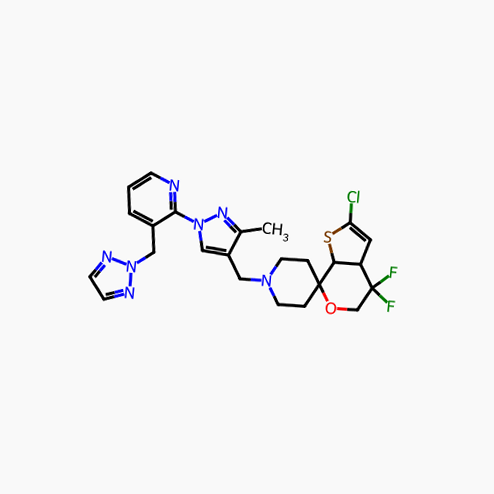 Cc1nn(-c2ncccc2Cn2nccn2)cc1CN1CCC2(CC1)OCC(F)(F)C1C=C(Cl)SC12